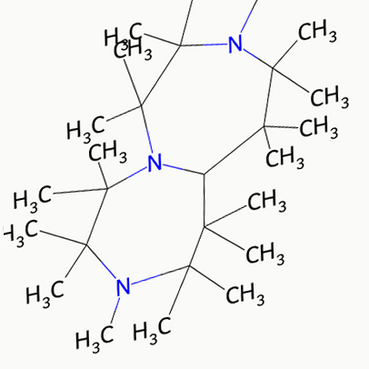 CN1C(C)(C)C(C)(C)C2N(C(C)(C)C1(C)C)C(C)(C)C(C)(C)N(C)C(C)(C)C2(C)C